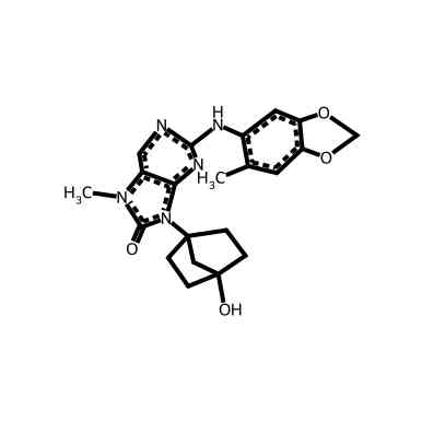 Cc1cc2c(cc1Nc1ncc3c(n1)n(C14CCC(O)(CC1)C4)c(=O)n3C)OCO2